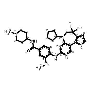 COc1cc(C(=O)NC2CCN(C)CC2)ccc1Nc1ncc2c(n1)N(C1CCCC1)CC(F)(F)c1ncnn1-2